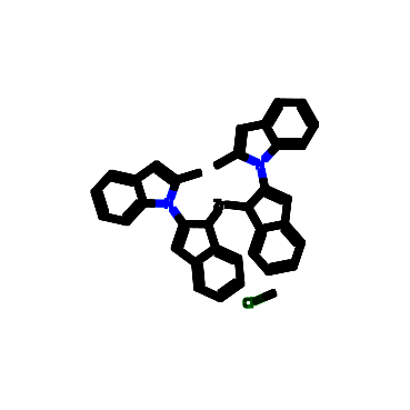 CCl.Cc1cc2ccccc2n1C1=Cc2ccccc2[CH]1[Zr][CH]1C(n2c(C)cc3ccccc32)=Cc2ccccc21